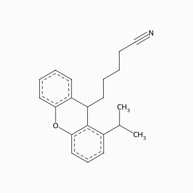 CC(C)c1cccc2c1C(CCCCC#N)c1ccccc1O2